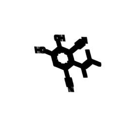 CC(C)=C(C)c1c(C#N)cc(O)c(O)c1C#N